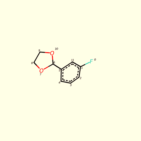 Fc1cccc(C2OCCO2)c1